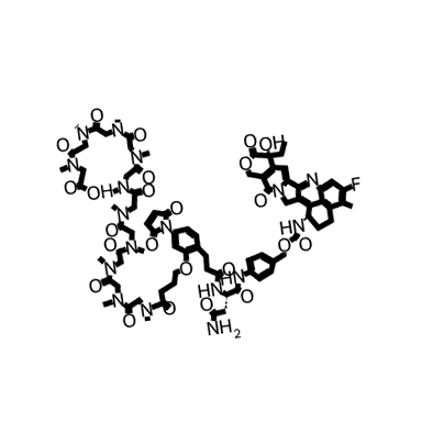 CC[C@@]1(O)C(=O)OCc2c1cc1n(c2=O)Cc2c-1nc1cc(F)c(C)c3c1c2[C@@H](NC(=O)OCc1ccc(NC(=O)[C@H](CC(N)=O)NC(=O)CCc2ccc(N4C(=O)C=CC4=O)cc2OCCCC(=O)N(C)CC(=O)N(C)CC(=O)N(C)CC(=O)N(C)CC(=O)N(C)CC(=O)N(C)CC(=O)N(C)CC(=O)N(C)CC(=O)N(C)CC(=O)N(C)CC(=O)O)cc1)CC3